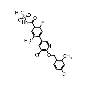 Cc1cc(Cl)ccc1COc1ncc(-c2cc(F)c(C(=O)NS(C)(=O)=O)cc2C)cc1Cl